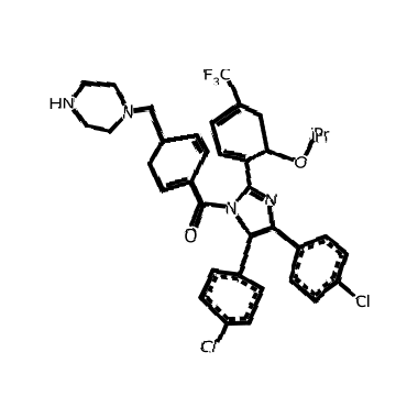 CC(C)OC1CC(C(F)(F)F)=CC=C1C1=NC(c2ccc(Cl)cc2)C(c2ccc(Cl)cc2)N1C(=O)C1=CCC(CN2CCNCC2)C=C1